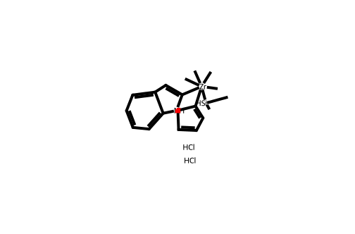 C[SiH](C)[Zr]([CH3])([CH3])([CH3])([CH3])([C]1=CC=CC1)[c]1cc2ccccc2[nH]1.Cl.Cl